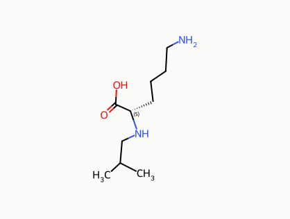 CC(C)CN[C@@H](CCCCN)C(=O)O